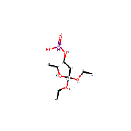 CCO[Si](CCO[PH](=O)O)(OCC)OCC